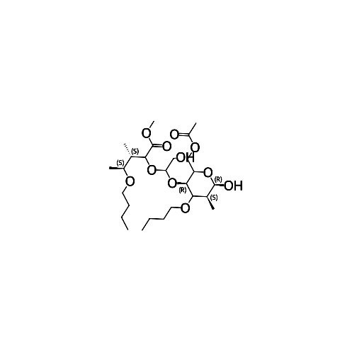 CCCCOC1[C@@H](OC(CO)OC(C(=O)OC)[C@@H](C)[C@H](C)OCCCC)C(COC(C)=O)O[C@@H](O)[C@H]1C